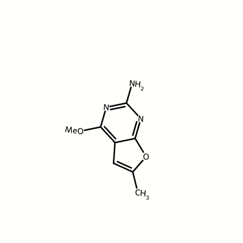 COc1nc(N)nc2oc(C)cc12